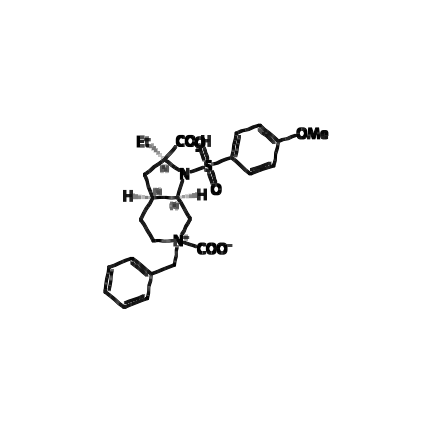 CC[C@@]1(C(=O)O)C[C@@H]2CC[N+](Cc3ccccc3)(C(=O)[O-])C[C@@H]2N1S(=O)(=O)c1ccc(OC)cc1